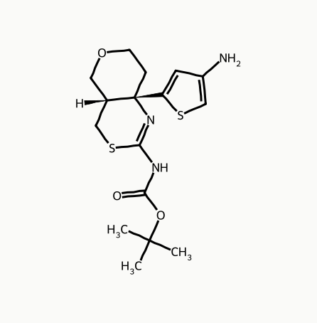 CC(C)(C)OC(=O)NC1=N[C@@]2(c3cc(N)cs3)CCOC[C@H]2CS1